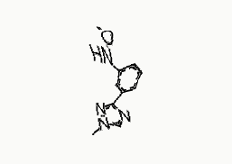 CONc1cccc(-c2ncn(C)n2)c1